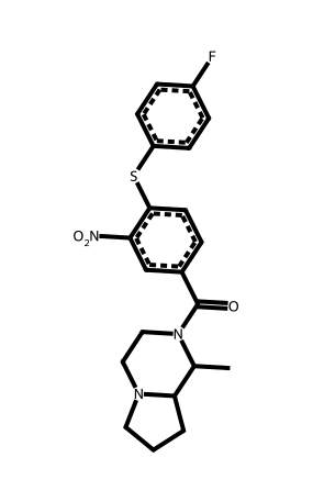 CC1C2CCCN2CCN1C(=O)c1ccc(Sc2ccc(F)cc2)c([N+](=O)[O-])c1